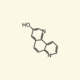 Oc1cnc2c(ccc3ncccc32)c1